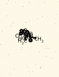 C=CCCC(c1ccccc1)S(=O)(=O)NC(=O)c1ccc2c(c1)N(C[C@@H]1CC[C@H]1C(O)C=C)C[C@@]1(CCCc3cc(Cl)ccc31)CO2